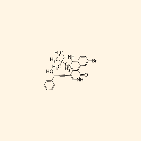 CC(Nc1nc2c(C#C[C@@H](O)c3ccccc3)c[nH]c(=O)c2c2cc(Br)ccc12)C(C)(C)C